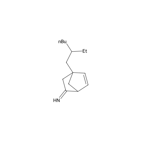 CCCCC(CC)CC12C=CC(C1)C(=N)C2